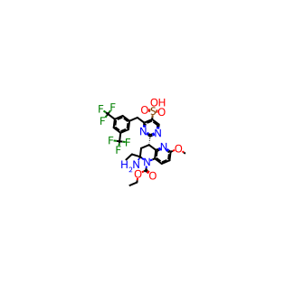 CCOC(=O)N1c2ccc(OC)nc2[C@@H](c2ncc(S(=O)(=O)O)c(Cc3cc(C(F)(F)F)cc(C(F)(F)F)c3)n2)C[C@@]1(N)CC